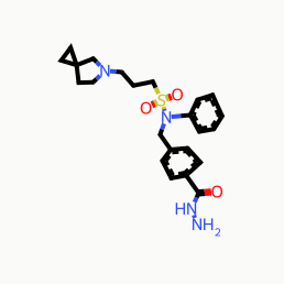 NNC(=O)c1ccc(CN(c2ccccc2)S(=O)(=O)CCCN2CCC3(CC3)C2)cc1